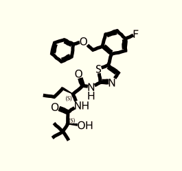 CCC[C@H](NC(=O)[C@@H](O)C(C)(C)C)C(=O)Nc1ncc(-c2cc(F)ccc2COc2ccccc2)s1